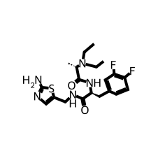 CCN(CC)[C@@H](C)C(=O)N[C@@H](Cc1ccc(F)c(F)c1)C(=O)NCc1cnc(N)s1